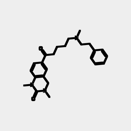 CN(CCCCC(=O)c1ccc2c(c1)CN(C)C(=O)N2C)CCc1ccccc1